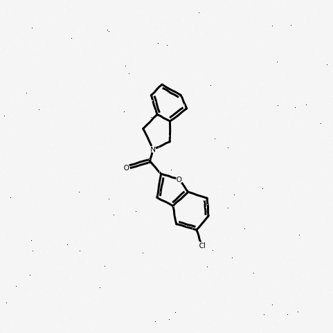 O=C(c1cc2cc(Cl)ccc2o1)N1Cc2ccccc2C1